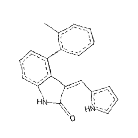 Cc1ccccc1-c1cccc2c1C(=Cc1ccc[nH]1)C(=O)N2